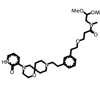 COC(CN(C)C(=O)CCOCCc1cccc(CCN2CCC3(CC2)CN(c2ccc[nH]c2=O)CCO3)c1)OC